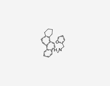 NCc1ccco1.c1ccc2c(c1)ccc1c3c(ccc12)CCCC3